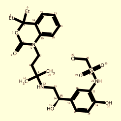 CCC1(CC)OC(=O)N(CCC(C)(C)NC[C@H](O)c2ccc(O)c(NS(=O)(=O)CCl)c2)c2ccccc21